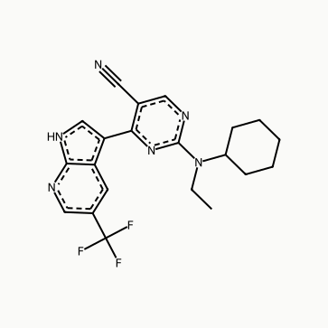 CCN(c1ncc(C#N)c(-c2c[nH]c3ncc(C(F)(F)F)cc23)n1)C1CCCCC1